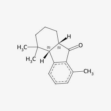 Cc1cccc2c1C(=O)[C@H]1CCCC(C)(C)[C@@H]21